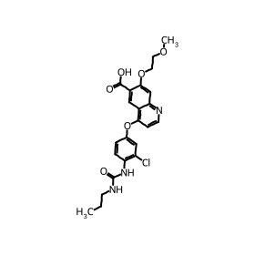 CCCNC(=O)Nc1ccc(Oc2ccnc3cc(OCCOC)c(C(=O)O)cc23)cc1Cl